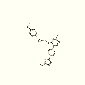 CCn1nnc(-c2ccc(-c3cnc(C)nc3OC[C@H]3C[C@@H]3c3ccc(OC)cn3)cc2)n1